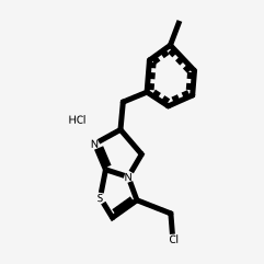 Cc1cccc(CC2CN3C(CCl)=CSC3=N2)c1.Cl